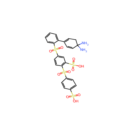 NC1(N)C=CC(c2ccccc2S(=O)(=O)c2ccc(S(=O)(=O)c3ccc(S(=O)(=O)O)cc3)c(S(=O)(=O)O)c2)=CC1